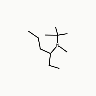 CCCC(CC)N(C)C(C)(C)C